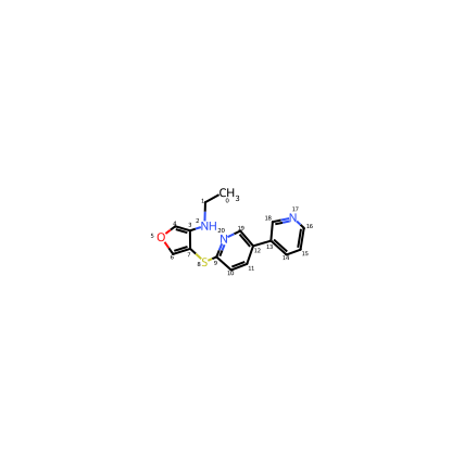 CCNc1cocc1Sc1ccc(-c2cccnc2)cn1